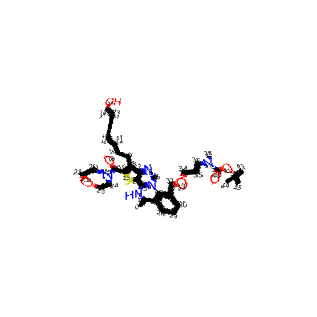 CC(Nc1ncnc2c(CCCCCCO)c(C(=O)N3CCOCC3)sc12)c1cccc(COCCCN(C)C(=O)OC(C)(C)C)c1